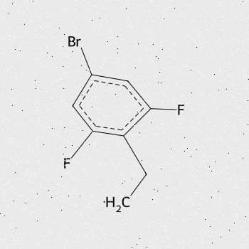 [CH2]Cc1c(F)cc(Br)cc1F